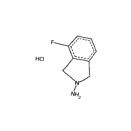 Cl.NN1Cc2cccc(F)c2C1